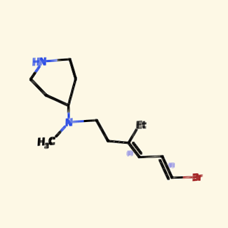 CC/C(=C\C=C\Br)CCN(C)C1CCNCC1